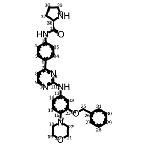 O=C(Nc1ccc(-c2ccnc(Nc3ccc(N4CCOCC4)c(OCc4ccccc4)c3)n2)cc1)[C@H]1CCCN1